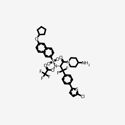 NC1CCN(C(=O)[C@@H](N(OC(=O)C(F)(F)F)S(=O)(=O)c2ccc3cc(OC4CCCC4)ccc3c2)C(F)(F)c2ccc(-c3ccc(Cl)s3)cc2)CC1